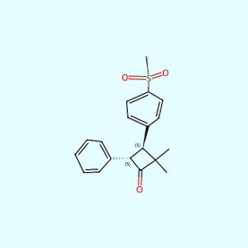 CC1(C)C(=O)[C@H](c2ccccc2)[C@H]1c1ccc(S(C)(=O)=O)cc1